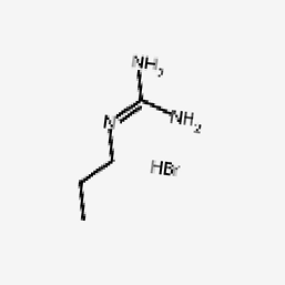 Br.CCCN=C(N)N